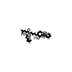 CC(C)CC(NC(=O)Cc1cccs1)C(=O)NCCCCC1CCCN(S(=O)(=O)c2ccccn2)C[C@H]1O